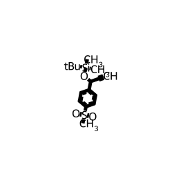 C#CC(O[Si](C)(C)C(C)(C)C)c1ccc(S(C)(=O)=O)cc1